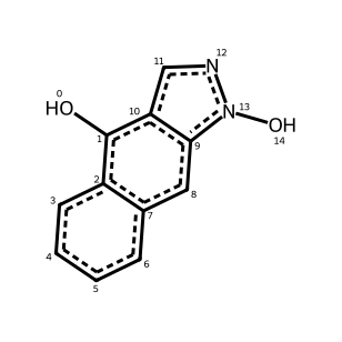 Oc1c2ccccc2cc2c1cnn2O